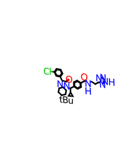 CC(C)(C)C1CCC2(CC1)N=C(c1cccc(Cl)c1)C(=O)N2C(c1ccc(C(=O)NCCc2nn[nH]n2)cc1)C1CC1